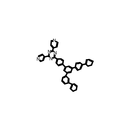 C1=CCCC(c2ccc(-c3cc(-c4ccc(-c5nc(-c6ccncc6)nc(-c6ccncc6)n5)cc4)cc(-c4cccc(C5=CCCC=C5)c4)c3)cc2)=C1